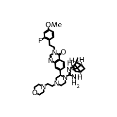 COc1ccc(CCn2cnc3cc(C4CN(CCN5CCOCC5)CCN4C(N)=N[C@H]4C[C@@H]5C[C@H]([C@@H]4C)C5(C)C)ccc3c2=O)c(F)c1